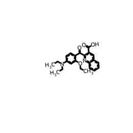 CCOc1cc(N(CC)CC)ccc1C(=O)c1nc2ccccc2cc1C(=O)O